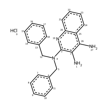 Cl.Nc1c(N(Cc2ccccc2)Cc2ccccc2)nc2ccccc2c1N